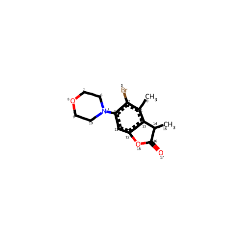 Cc1c(Br)c(N2CCOCC2)cc2c1C(C)C(=O)O2